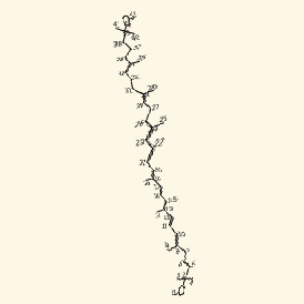 COC(C)(C)CCC/C(C)=C/C=C/C(C)=C/C=C/C(C)=C/C=C/C=C(\C)CC/C=C(\C)CC/C=C(\C)CCCC(C)(C)OC